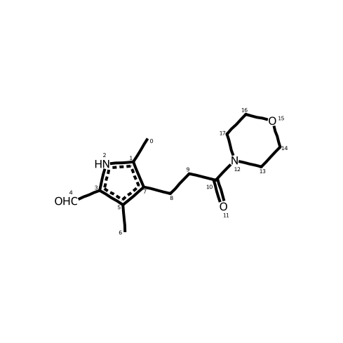 Cc1[nH]c(C=O)c(C)c1CCC(=O)N1CCOCC1